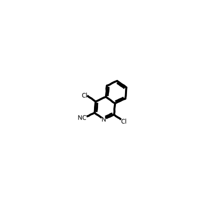 N#Cc1nc(Cl)c2ccccc2c1Cl